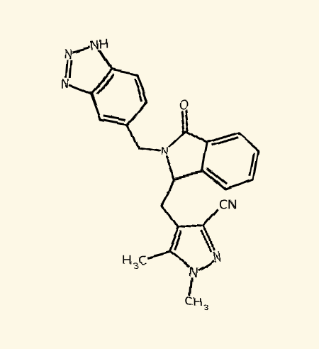 Cc1c(CC2c3ccccc3C(=O)N2Cc2ccc3[nH]nnc3c2)c(C#N)nn1C